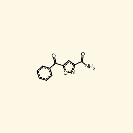 NC(=O)c1cc(C(=O)c2ccccc2)on1